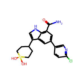 NC(=O)c1cc(-c2ccc(Cl)nc2)cc2c(C3CCS(O)(O)CC3)c[nH]c12